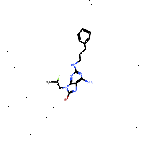 CC(F)Cn1c(Br)nc2c(N)nc(NCCCc3ccccc3)nc21